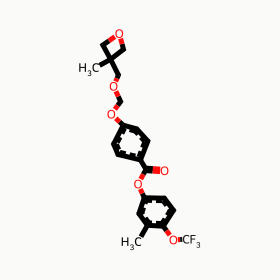 Cc1cc(OC(=O)c2ccc(OCOCC3(C)COC3)cc2)ccc1OC(F)(F)F